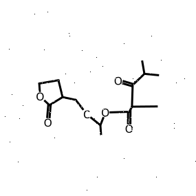 CC(CCC1CCOC1=O)OC(=O)C(C)C(=O)C(C)C